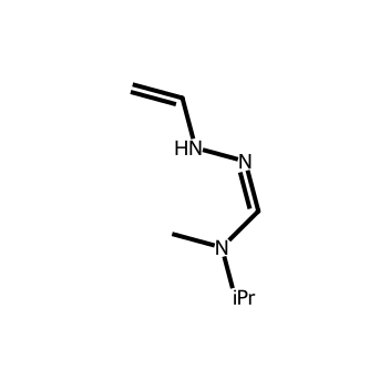 C=CN/N=C\N(C)C(C)C